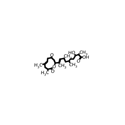 C/C1=C\CC(=O)CC(/C(C)=C/C(C)CC(C)CCC(O)C(C)C(=O)O)OC(=O)C(C)C1